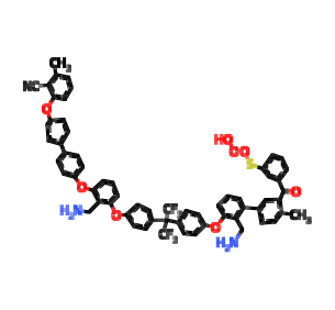 Cc1ccc(-c2cccc(Oc3ccc(C(c4ccc(Oc5cccc(Oc6ccc(-c7ccc(Oc8cccc(C)c8C#N)cc7)cc6)c5CN)cc4)(C(F)(F)F)C(F)(F)F)cc3)c2CN)cc1C(=O)c1cccc(SOOO)c1